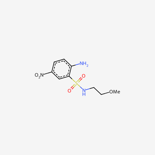 COCCNS(=O)(=O)c1cc([N+](=O)[O-])ccc1N